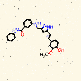 COc1cc(/C=C/c2cc(CNc3cccc(C(=O)Nc4ccccc4)c3)n[nH]2)ccc1O